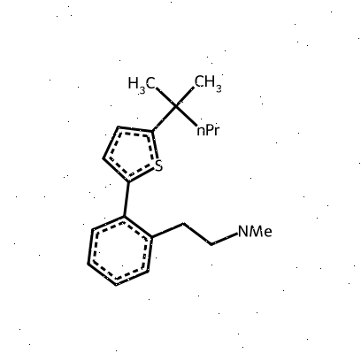 CCCC(C)(C)c1ccc(-c2ccccc2CCNC)s1